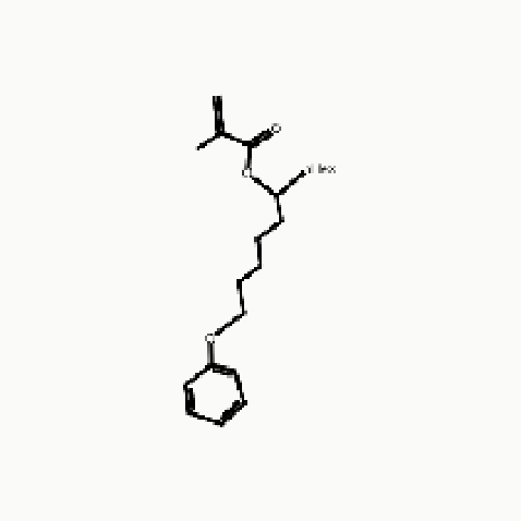 C=C(C)C(=O)OC(CCCCCC)CCCCCOc1ccccc1